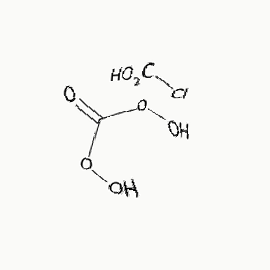 O=C(O)Cl.O=C(OO)OO